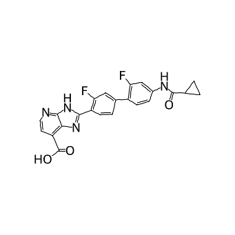 O=C(O)c1ccnc2[nH]c(-c3ccc(-c4ccc(NC(=O)C5CC5)cc4F)cc3F)nc12